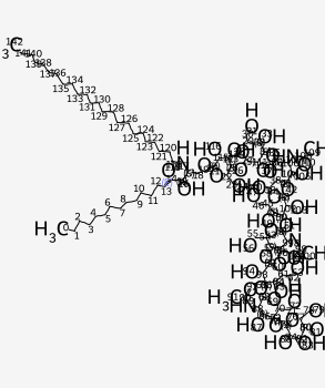 CCCCCCCCCCCCC/C=C/[C@@H](O)[C@H](CO[C@@H]1OC(CO)[C@@H](O[C@@H]2OC(CO)[C@H](O)[C@H](O[C@@H]3OC(CO)[C@@H](O[C@@H]4OC(CO)[C@H](O)[C@H](O[C@@H]5OC(CO)[C@@H](O[C@@H]6OC(CO)[C@H](O)[C@H](O[C@@H]7OC(CO)[C@@H](O[C@@H]8OC(CO)[C@H](O)[C@H](O)C8O)[C@H](O)C7NC(C)=O)C6O)[C@H](O)C5NC(C)=O)C4O)[C@H](O)C3NC(C)=O)C2O)[C@H](O)C1O)NC(=O)CCCCCCCCCCCCCCCCCCCCCCC